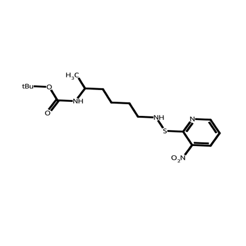 CC(CCCCNSc1ncccc1[N+](=O)[O-])NC(=O)OC(C)(C)C